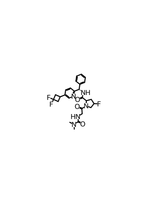 CN(C)C(=O)NCC(=O)N1CC(F)CC1C(=O)N[C@@H](c1ccccc1)c1ccc(C2CC(F)(F)C2)cn1